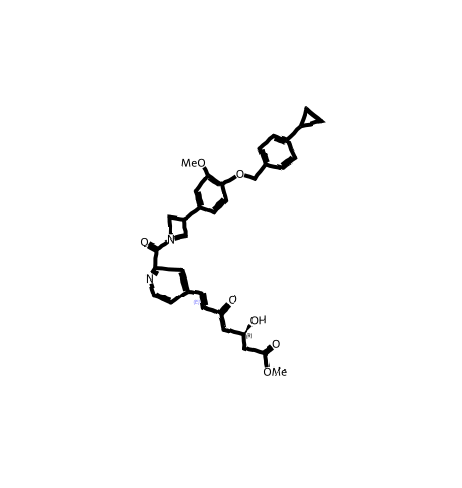 COC(=O)C[C@H](O)CC(=O)/C=C/c1ccnc(C(=O)N2CC(c3ccc(OCc4ccc(C5CC5)cc4)c(OC)c3)C2)c1